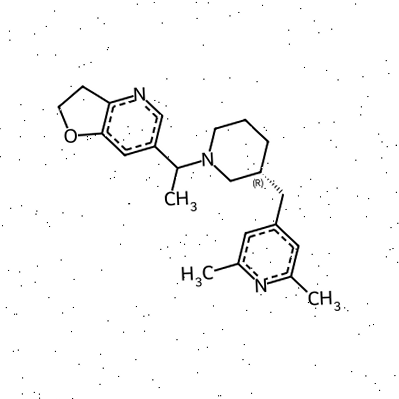 Cc1cc(C[C@H]2CCCN(C(C)c3cnc4c(c3)OCC4)C2)cc(C)n1